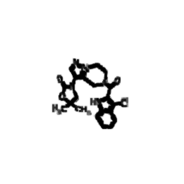 CC1(C)CN(c2cnn3c2CN(C(=O)c2[nH]c4ccccc4c2Cl)CC3)C(=O)O1